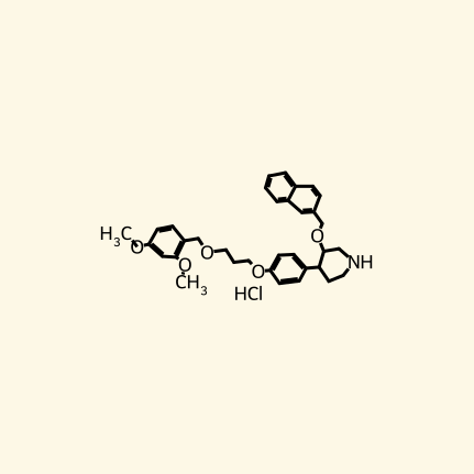 COc1ccc(COCCCOc2ccc(C3CCNCC3OCc3ccc4ccccc4c3)cc2)c(OC)c1.Cl